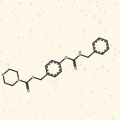 O=C(NCc1ccccc1)Oc1ccc(CSC(=O)N2CCNCC2)cc1